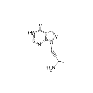 CC(N)C#Cn1ncc2c(=O)[nH]cnc21